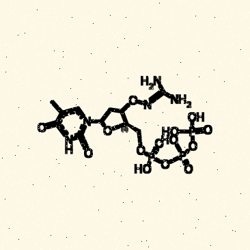 Cc1cn(C2CC(ON=C(N)N)[C@@H](COP(=O)(O)OP(=O)(O)OP(=O)(O)O)O2)c(=O)[nH]c1=O